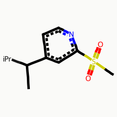 CC(C)C(C)c1ccnc(S(C)(=O)=O)c1